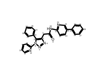 O=C(Cc1nnn(-c2ccccn2)c1-c1ccccc1)Nc1ccc(-c2ccccc2)cn1